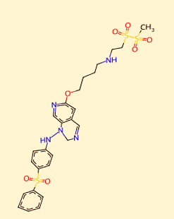 CS(=O)(=O)S(=O)(=O)CCNCCCCOc1cc2c(cn1)N(Nc1ccc(S(=O)(=O)c3ccccc3)cc1)CN=C2